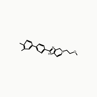 COCCN1C=Cc2[nH]c(-c3ccc(-c4ccc(C)c(C)c4)cc3)nc2C1